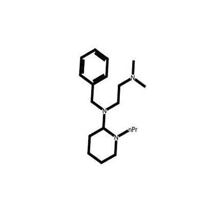 CCCN1CCCCC1N(CCN(C)C)Cc1ccccc1